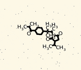 CC(C)C(=O)C1CCC(C(C)(C)C(C)N2C(=O)CC(C(C)C)C2=O)CC1